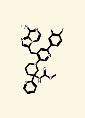 COC(=O)NC1(c2ccccn2)CCCN(c2cnc(-c3ccc(F)c(F)c3)cc2Cc2cnc3c(N)nccn23)C1